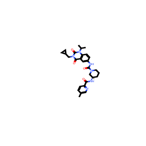 Cc1ccc(C(=O)N[C@@H]2CCCN(C(=O)Nc3ccc4c(c3)c(=O)n(CC3CC3)c(=O)n4C(C)C)C2)nc1